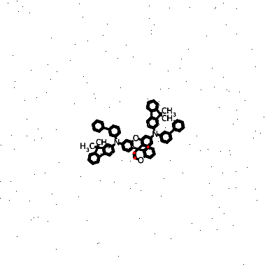 CC1(C)c2ccccc2-c2ccc(N(c3cccc(-c4ccccc4)c3)c3ccc4c(c3)Oc3cc(N(c5cccc(-c6ccccc6)c5)c5ccc6c(c5)C(C)(C)c5ccccc5-6)ccc3C43c4ccccc4Oc4ccccc43)cc21